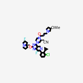 CO[C@H]1CCN(C/C=C/C(=O)N2CCN(c3nc(OC[C@@]45CCCN4C[C@H](F)C5)nc4c(F)c(-c5cccc(Cl)c5C5CC5)ncc34)C[C@@H]2CC#N)C1